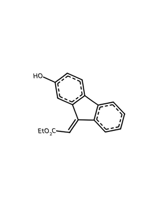 CCOC(=O)C=C1c2ccccc2-c2ccc(O)cc21